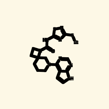 CCSc1nsc(NC(=O)N2CCC23CCCN(c2ncnc4[nH]ccc24)C3)n1